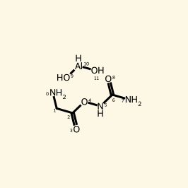 NCC(=O)ONC(N)=O.[OH][AlH][OH]